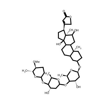 CO[C@H]1CCC(OC2[C@@H](O)CC(OC3[C@@H](O)C[C@H](OC4CC[C@@]5(C)C(CCC6C5CC(O)[C@]5(C)[C@H](C7=CC(=O)OC7)CCC65O)C4)O[C@@H]3C)O[C@@H]2C)O[C@@H]1C